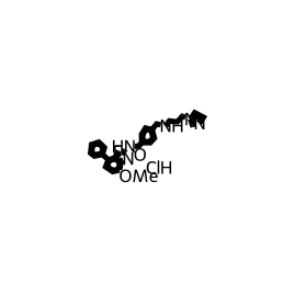 COc1ccc(-c2ccccc2)c2sc(NC(=O)c3ccc(CNCCCn4ccnc4)cc3)nc12.Cl